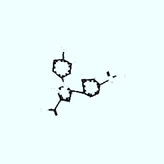 CS(=O)(=O)c1ccc(-c2cc(C(=O)O)nn2-c2ccc(N)cc2)cc1